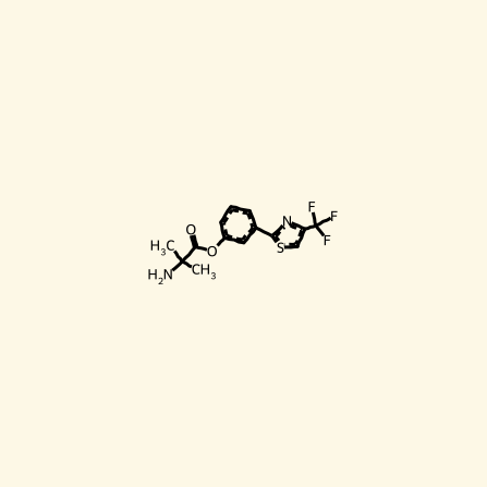 CC(C)(N)C(=O)Oc1cccc(-c2nc(C(F)(F)F)cs2)c1